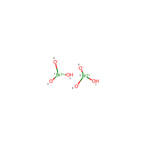 [O-][Br+2]([O-])O.[O-][Br+2]([O-])O